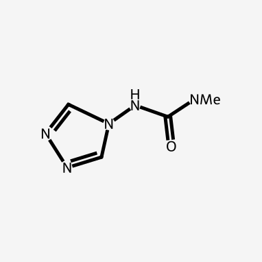 CNC(=O)Nn1cnnc1